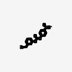 O=C(Oc1ccc([N+](=O)[O-])cc1)Oc1cccc(CBr)c1